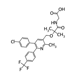 Cc1nc(-c2ccc(C(F)(F)F)cc2)c(-c2ccc(Cl)cc2)cc1COC(C)(C)C(=O)NCC(=O)O